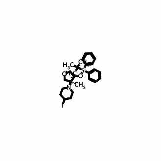 CC(C)(C)[Si](O[C@@H]1COC[C@]1(C)N1CCC(I)CC1)(c1ccccc1)c1ccccc1